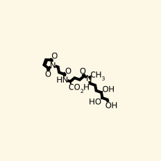 CN(CCC[C@H](O)[C@H](O)CO)C(=O)CC[C@H](NC(=O)CCN1C(=O)C=CC1=O)C(=O)O